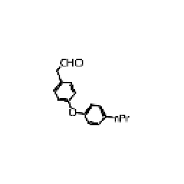 CCCc1ccc(Oc2ccc(CC=O)cc2)cc1